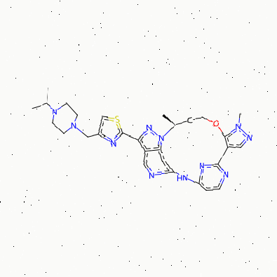 CC(C)N1CCN(Cc2csc(-c3nn4c5cc(ncc35)Nc3ccnc(n3)-c3cnn(C)c3OCC[C@@H]4C)n2)CC1